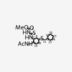 COC(=O)NC(=S)Nc1cc(SCc2ccccc2)ccc1NC(C)=O